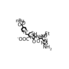 CCCCOC(=O)c1cc[n+](CC2=C(C(=O)[O-])N3C(=O)C(NC(=O)C(=NOCC)c4nsc(N)n4)[C@@H]3SC2)cc1